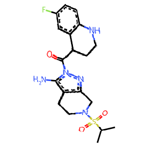 CC(C)S(=O)(=O)N1CCc2c(nn(C(=O)C3CCNc4ccc(F)cc43)c2N)C1